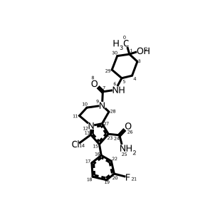 CC1(O)CCC(NC(=O)N2CCn3c(Cl)c(-c4cccc(F)c4)c(C(N)=O)c3C2)CC1